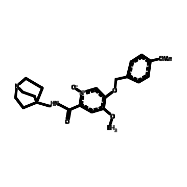 BOc1cc(C(=O)NCC23CCN(CC2)CC3)[n+]([O-])cc1OCc1ccc(OC)cc1